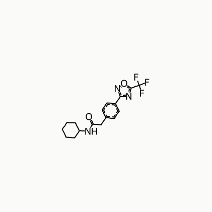 O=C(Cc1ccc(-c2noc(C(F)(F)F)n2)cc1)NC1CCCCC1